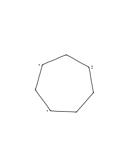 [C]1C[CH]C[CH]CC1